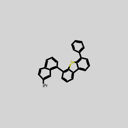 CC(C)c1ccc2cccc(-c3cccc4c3sc3c(-c5ccccc5)cccc34)c2c1